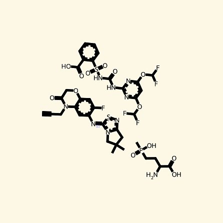 C#CCN1C(=O)COc2cc(F)c(/N=c3\snc4n3CC(C)(C)C4)cc21.CP(=O)(O)CCC(N)C(=O)O.O=C(Nc1nc(OC(F)F)cc(OC(F)F)n1)NS(=O)(=O)c1ccccc1C(=O)O